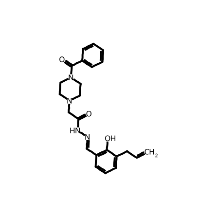 C=CCc1cccc(C=NNC(=O)CN2CCN(C(=O)c3ccccc3)CC2)c1O